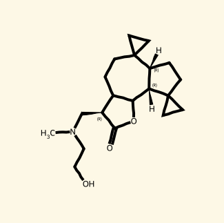 CN(CCO)C[C@@H]1C(=O)OC2C1CCC1(CC1)[C@@H]1CCC3(CC3)[C@H]21